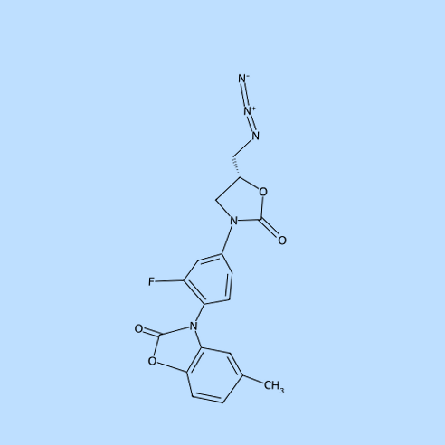 Cc1ccc2oc(=O)n(-c3ccc(N4C[C@H](CN=[N+]=[N-])OC4=O)cc3F)c2c1